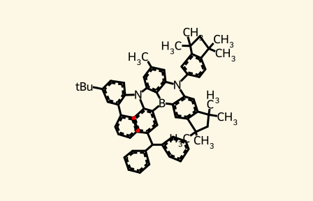 Cc1cc2c3c(c1)N(c1ccc(C(C)(C)C)cc1-c1ccccc1)c1ccc(C(c4ccccc4)c4ccccc4)cc1B3c1cc3c(cc1N2c1ccc2c(c1)C(C)(C)CC2(C)C)C(C)(C)CC3(C)C